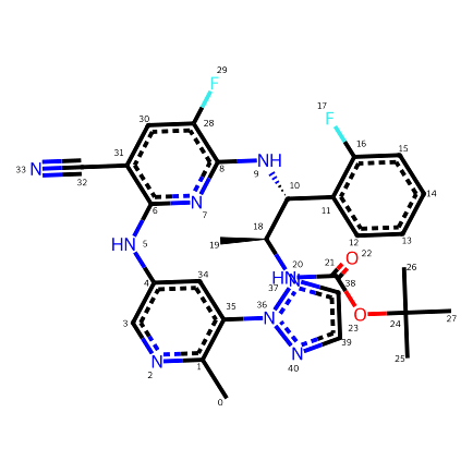 Cc1ncc(Nc2nc(N[C@H](c3ccccc3F)[C@H](C)NC(=O)OC(C)(C)C)c(F)cc2C#N)cc1-n1nccn1